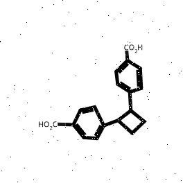 O=C(O)c1ccc(C2CCC2c2ccc(C(=O)O)cc2)cc1